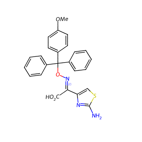 COc1ccc(C(O/N=C(\C(=O)O)c2csc(N)n2)(c2ccccc2)c2ccccc2)cc1